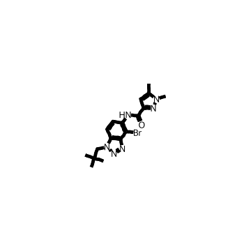 Cc1cc(C(=O)Nc2ccc3c(nnn3CC(C)(C)C)c2Br)nn1C